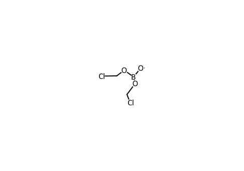 [O]B(OCCl)OCCl